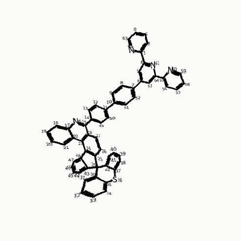 c1ccc(-c2cc(-c3ccc(-c4ccc(-c5nc6ccccc6c6c7c(ccc56)C5(c6ccccc6Sc6ccccc65)c5ccccc5-7)cc4)cc3)cc(-c3ccccn3)n2)nc1